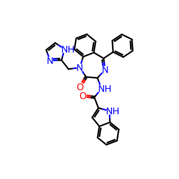 O=C(NC1N=C(c2ccccc2)c2ccccc2N(Cc2ncc[nH]2)C1=O)c1cc2ccccc2[nH]1